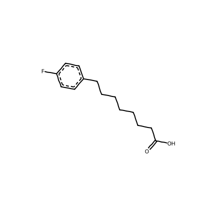 O=C(O)CCCCCCCc1ccc(F)cc1